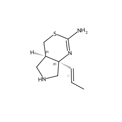 C/C=C/[C@]12CNC[C@H]1CSC(N)=N2